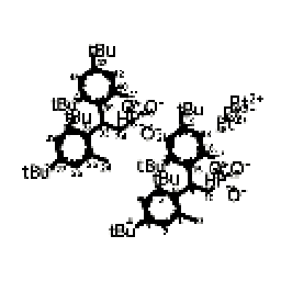 Cc1cc(C(C)(C)C)cc(C(C)(C)C)c1C(C[PH]([O-])([O-])[O-])c1c(C)cc(C(C)(C)C)cc1C(C)(C)C.Cc1cc(C(C)(C)C)cc(C(C)(C)C)c1C(C[PH]([O-])([O-])[O-])c1c(C)cc(C(C)(C)C)cc1C(C)(C)C.[Pt+2].[Pt+2].[Pt+2]